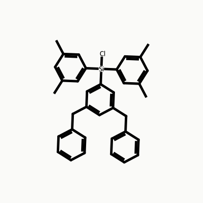 Cc1cc(C)cc([Si](Cl)(c2cc(C)cc(C)c2)c2cc(Cc3ccccc3)cc(Cc3ccccc3)c2)c1